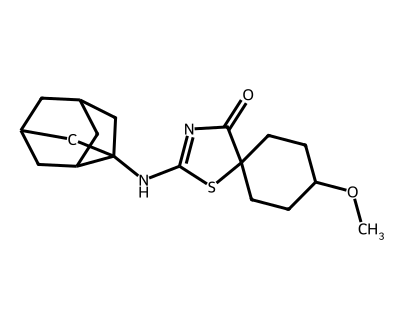 COC1CCC2(CC1)SC(NC13CC4CC(CC1C4)C3)=NC2=O